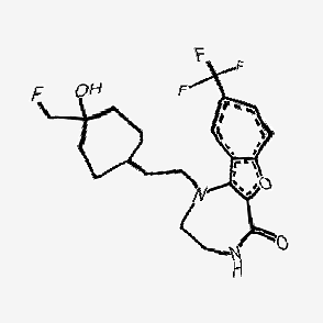 O=C1NCCN(CCC2CCC(O)(CF)CC2)c2c1oc1ccc(C(F)(F)F)cc21